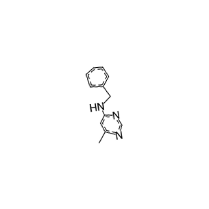 Cc1cc(NCc2ccccc2)ncn1